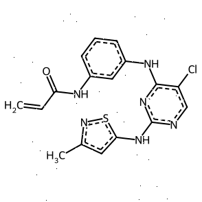 C=CC(=O)Nc1cccc(Nc2nc(Nc3cc(C)ns3)ncc2Cl)c1